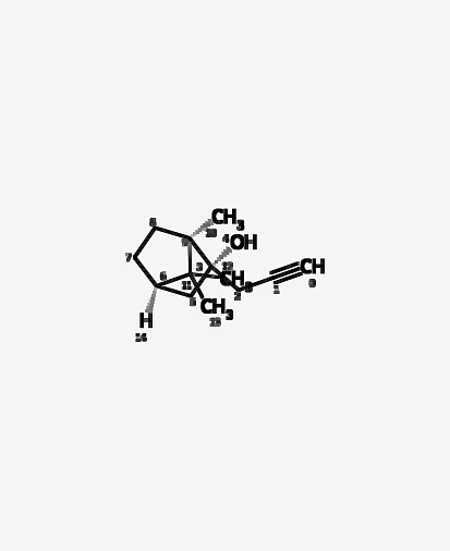 C#CC[C@@]1(O)C[C@H]2CC[C@]1(C)C2(C)C